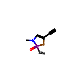 C#CC1=CN(C)P(=O)(SC)S1